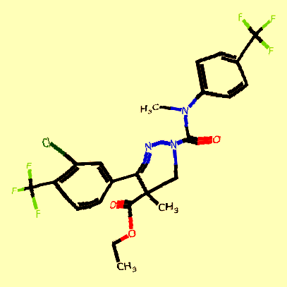 CCOC(=O)C1(C)CN(C(=O)N(C)c2ccc(C(F)(F)F)cc2)N=C1c1ccc(C(F)(F)F)c(Cl)c1